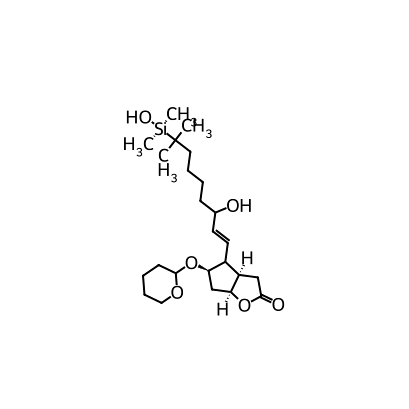 CC(C)(CCCCC(O)/C=C/C1[C@H]2CC(=O)O[C@H]2C[C@H]1OC1CCCCO1)[Si](C)(C)O